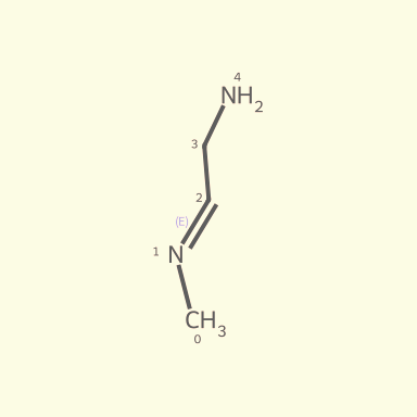 C/N=C/CN